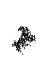 CCOC(CC(CC)(OC)C1(C)COC1)[Si](OC)(OC)OC.CCOC(CC(CC)(OC)C1(C)COC1)[Si](OCC)(OCC)OCC.CCOC(C[SiH](OC)OC)CC(CC)(OC)C1(C)COC1.CCOC(C[SiH](OCC)OCC)CC(CC)(OC)C1(C)COC1